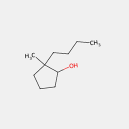 CCCCC1(C)CCCC1O